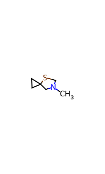 CN1CSC2(CC2)C1